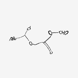 CCCCC(Cl)OC(=O)OC=O